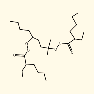 CCCCC(CCC(C)(C)OOC(=O)C(CC)CCCC)OOC(=O)C(CC)CCCC